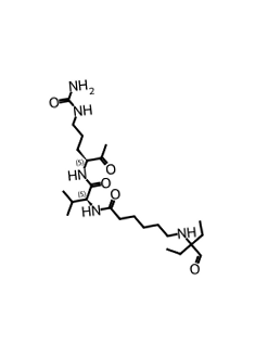 CCC(C=O)(CC)NCCCCCC(=O)N[C@H](C(=O)N[C@@H](CCCNC(N)=O)C(C)=O)C(C)C